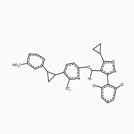 [2H]C(Oc1ccc(C2CC2c2cccc(C(=O)O)c2)c(C(F)(F)F)n1)c1c(-c2c(Cl)cccc2Cl)noc1C1CC1